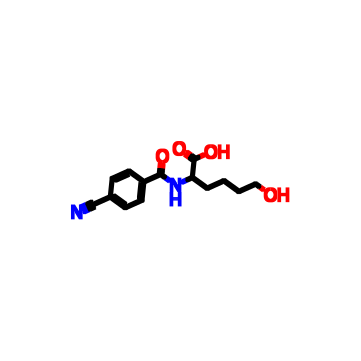 N#Cc1ccc(C(=O)NC(CCCCO)C(=O)O)cc1